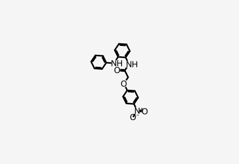 O=C(COc1ccc([N+](=O)[O-])cc1)Nc1ccccc1Nc1ccccc1